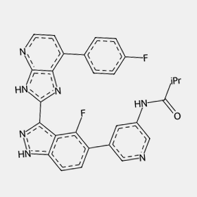 CC(C)C(=O)Nc1cncc(-c2ccc3[nH]nc(-c4nc5c(-c6ccc(F)cc6)ccnc5[nH]4)c3c2F)c1